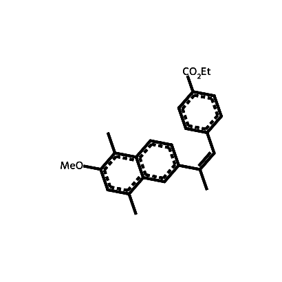 CCOC(=O)c1ccc(/C=C(/C)c2ccc3c(C)c(OC)cc(C)c3c2)cc1